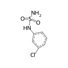 NS(=O)(=O)Nc1cccc(Cl)c1